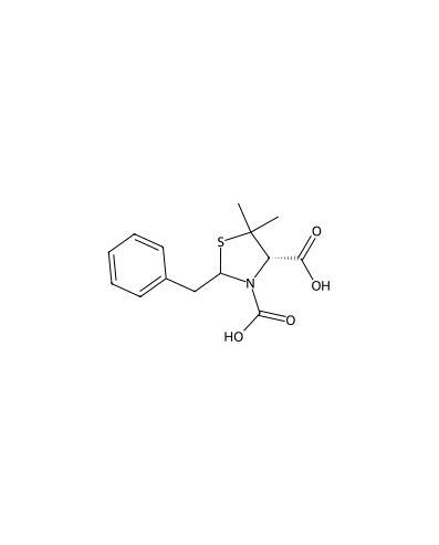 CC1(C)SC(Cc2ccccc2)N(C(=O)O)[C@H]1C(=O)O